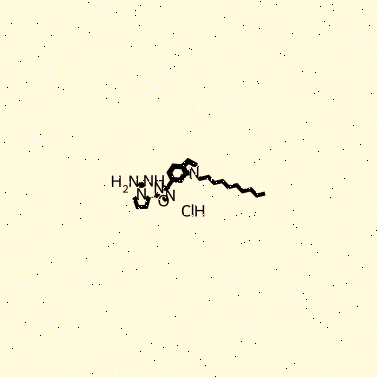 CCCCCCCCCCn1ccc2ccc(-c3noc([C@@H]4CCCN4C(=N)N)n3)cc21.Cl